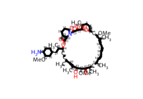 CO[C@H]1C[C@@H]2CC[C@@H](C)[C@@](O)(O2)C(=O)C(=O)N2CCCC[C@H]2C(=O)O[C@H]([C@H](C)C[C@@H]2CC[C@H](N)[C@H](OC)C2)CC[C@H](C)/C=C(\C)[C@@H](O)[C@@H](OC)C(=O)[C@H](C)C[C@H](C)/C=C/C=C/C=C/1C